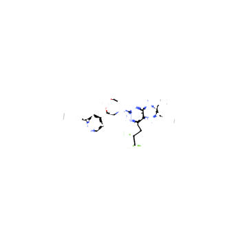 Cc1cc([C@H]2CN(c3nc(CC(F)C(F)F)c4nc(C)c(C)nc4n3)CCO2)ccn1